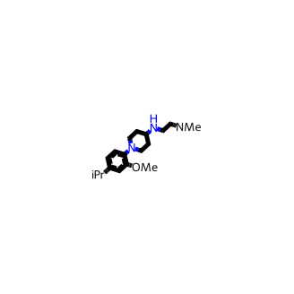 CNCCNC1CCN(c2ccc(C(C)C)cc2OC)CC1